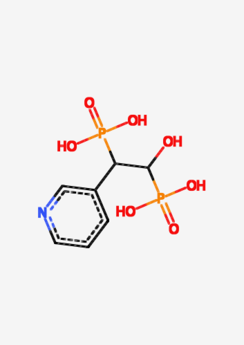 O=P(O)(O)C(O)C(c1cccnc1)P(=O)(O)O